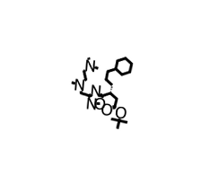 CN(C)CCN(C)Cc1noc([C@H](CCCC2CCCCC2)CC(=O)OC(C)(C)C)n1